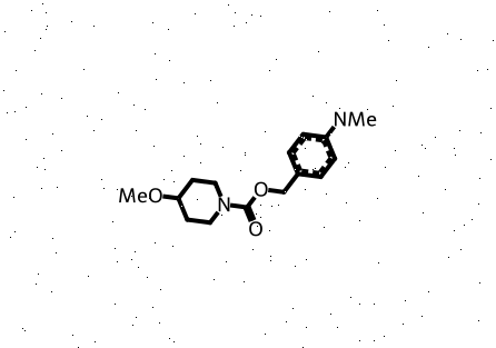 CNc1ccc(COC(=O)N2CCC(OC)CC2)cc1